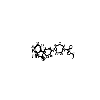 CCOC(=O)N1CCCN(C2CCC3(CC2)C(=O)Nc2ncccc23)CC1